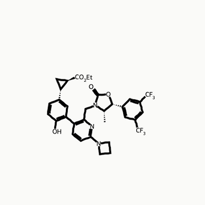 CCOC(=O)[C@@H]1C[C@H]1c1ccc(O)c(-c2ccc(N3CCC3)nc2CN2C(=O)O[C@H](c3cc(C(F)(F)F)cc(C(F)(F)F)c3)[C@@H]2C)c1